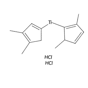 CC1=C(C)C[C]([Ti][C]2=C(C)C=CC2C)=C1.Cl.Cl